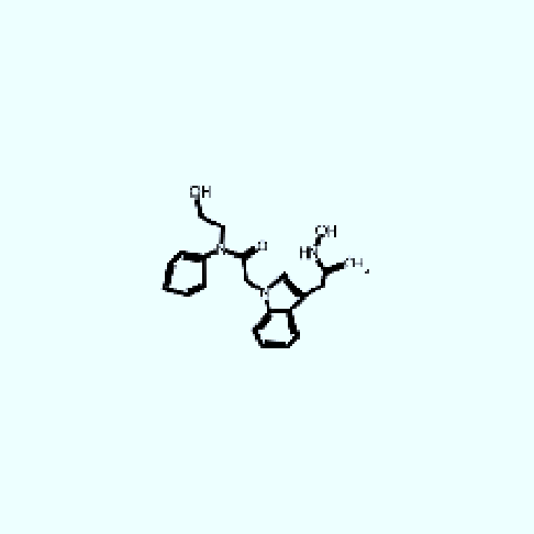 C=C(Cc1cn(CC(=O)N(CCO)c2ccccc2)c2ccccc12)NO